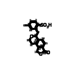 Cc1ccc(S(=O)(=O)O)c(CC2OCCc3c2ccc2c3COC2=O)c1